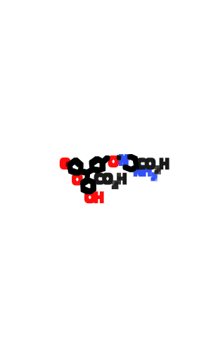 NC1(C(=O)O)CCN(COCc2ccc(-c3c4ccc(=O)cc-4oc4cc(O)ccc34)c(C(=O)O)c2)CC1